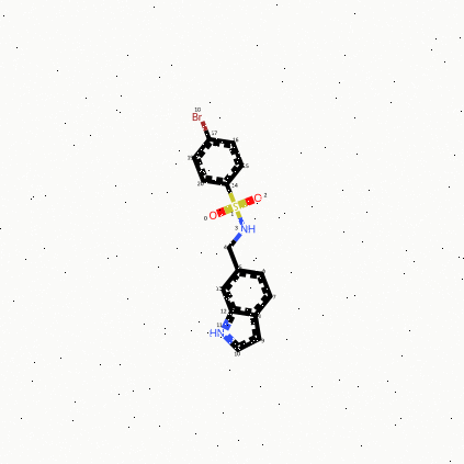 O=S(=O)(NCc1ccc2cc[nH]c2c1)c1ccc(Br)cc1